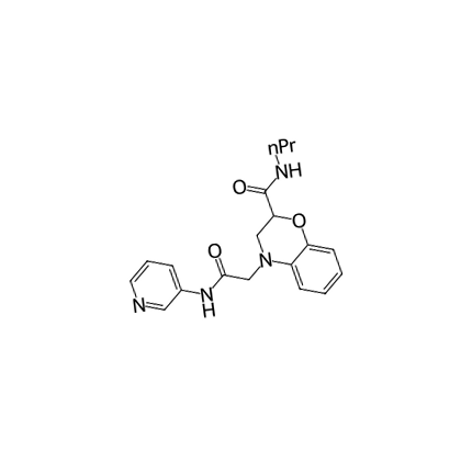 CCCNC(=O)C1CN(CC(=O)Nc2cccnc2)c2ccccc2O1